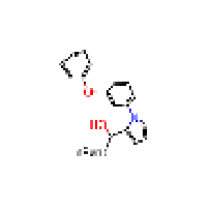 CCCCCC(O)c1cccn1-c1cccc(Oc2ccccc2)c1